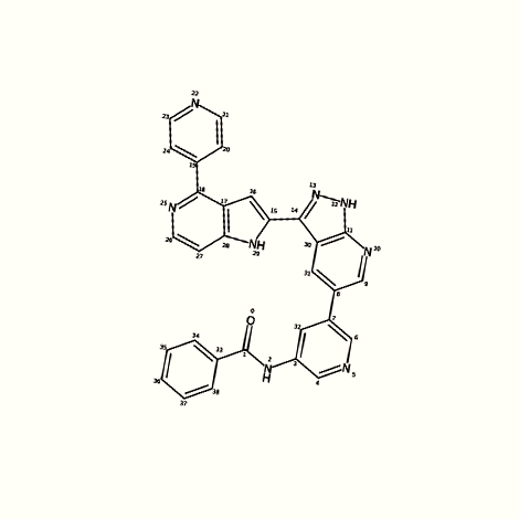 O=C(Nc1cncc(-c2cnc3[nH]nc(-c4cc5c(-c6ccncc6)nccc5[nH]4)c3c2)c1)c1ccccc1